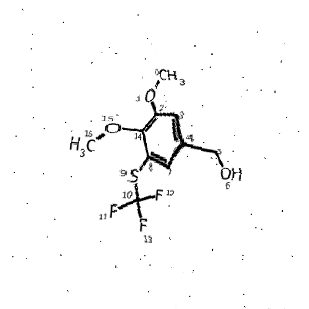 COc1cc(CO)cc(SC(F)(F)F)c1OC